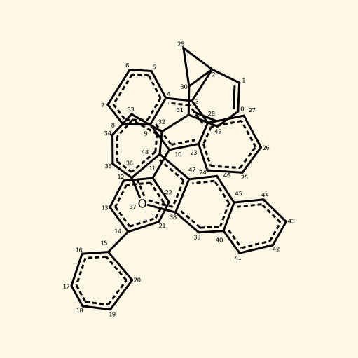 C1=CC2(c3c4ccccc4c(-c4ccc(-c5ccccc5)cc4)c4ccccc34)CC2C(c2cccc3oc4cc5ccccc5cc4c23)=C1